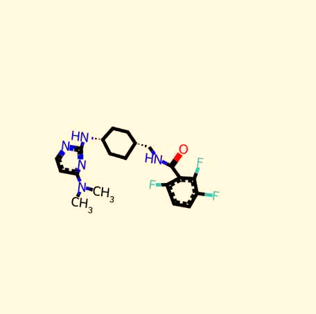 CN(C)c1ccnc(N[C@H]2CC[C@@H](CNC(=O)c3c(F)ccc(F)c3F)CC2)n1